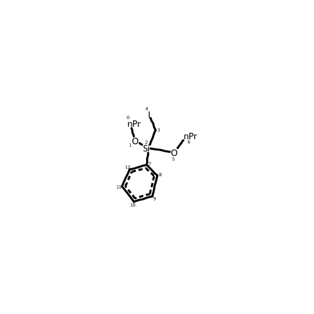 CCCO[Si](CI)(OCCC)c1ccccc1